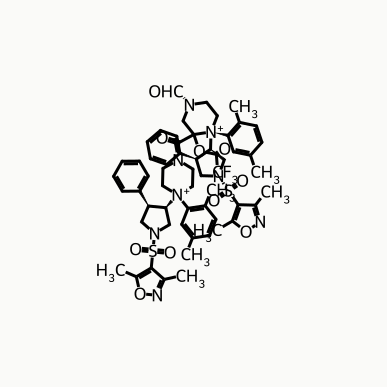 Cc1ccc(C)c([N+]2([C@H]3CN(S(=O)(=O)c4c(C)noc4C)C[C@H]3c3ccccc3)CCN(C(=O)C3(OC(=O)C(F)(F)F)CN(C=O)CC[N@+]3(c3cc(C)ccc3C)[C@H]3CN(S(=O)(=O)c4c(C)noc4C)C[C@H]3c3ccccc3)CC2)c1